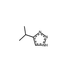 CC(C)c1c[nH]nn1